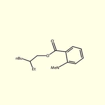 CCCCC(CC)COC(=O)c1ccccc1NC